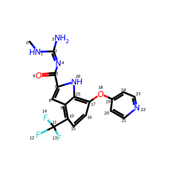 CNC(N)=NC(=O)c1cc2c(C(F)(F)F)ccc(Oc3ccncc3)c2[nH]1